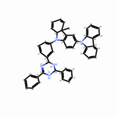 CC12C=CC=CC1N(c1cccc(C3N=C(c4ccccc4)NC(c4ccccc4)N3)c1)c1ccc(-n3c4ccccc4c4ccccc43)cc12